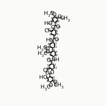 COc1cc(O)c(C(=O)Oc2ccc(C(=O)Nc3ccc(-c4ccc(NC(=O)c5ccc(OC(=O)c6cc(OC)c(OC)cc6O)c(Cl)c5)cc4OC)c(OC)c3)cc2Cl)cc1OC